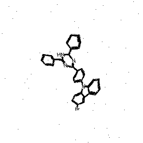 Brc1ccc2c(c1)c1ccccc1n2-c1ccc(C2=NC(c3ccccc3)NC(c3ccccc3)=N2)cc1